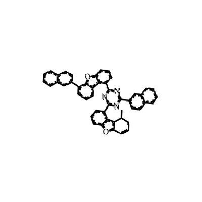 CC1CC=Cc2oc3cccc(-c4nc(-c5ccc6ccccc6c5)nc(-c5cccc6oc7c(-c8ccc9ccccc9c8)cccc7c56)n4)c3c21